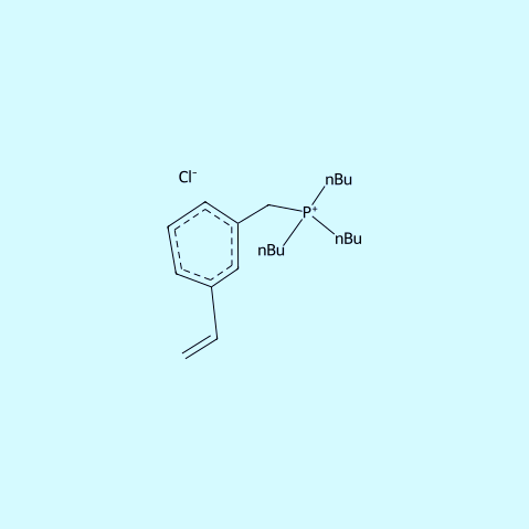 C=Cc1cccc(C[P+](CCCC)(CCCC)CCCC)c1.[Cl-]